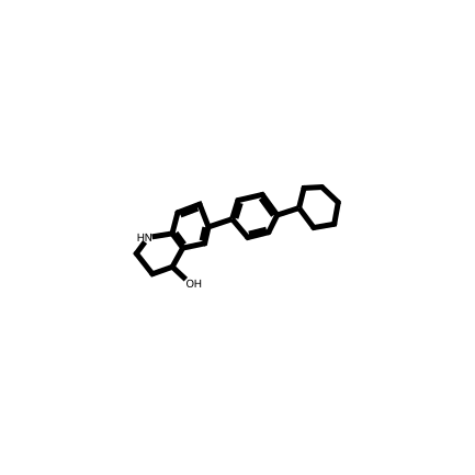 OC1CCNc2ccc(-c3ccc(C4CCCCC4)cc3)cc21